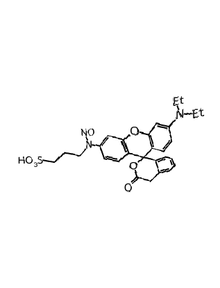 CCN(CC)c1ccc2c(c1)Oc1cc(N(CCCS(=O)(=O)O)N=O)ccc1C21OC(=O)Cc2ccccc21